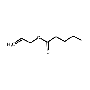 C=CCOC(=O)CCCI